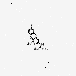 CC(C)(C)OC(=O)N(CC(=O)N[C@H](C(=O)O)C(C)(C)C)Cc1cccc(F)c1